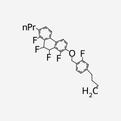 C=CCCc1ccc(COc2ccc3c(c2F)C(F)C(F)c2c-3ccc(CCC)c2F)c(F)c1